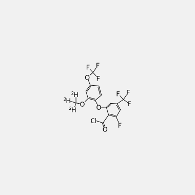 [2H]C([2H])([2H])Oc1cc(OC(F)(F)F)ccc1Oc1cc(C(F)(F)F)cc(F)c1C(=O)Cl